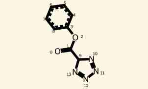 O=C(Oc1ccccc1)C1N=NN=N1